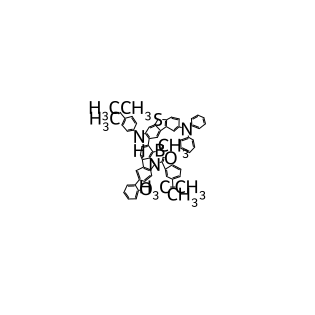 CB1c2oc3ccc(C(C)(C)C)cc3c2-n2c3cc4oc5ccccc5c4cc3c3ccc(-c4cc5c(cc4Nc4ccc(C(C)(C)C)cc4)sc4ccc(N(c6ccccc6)c6ccccc6)cc45)c1c32